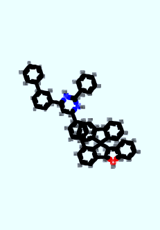 c1ccc(-c2cccc(-c3cc(-c4ccc(-c5cccc6c5C5(c7ccccc7-c7ccccc75)c5c-6oc6ccccc56)cc4)nc(-c4ccccc4)n3)c2)cc1